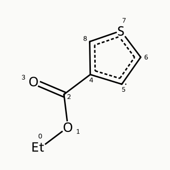 CCOC(=O)c1[c]csc1